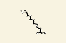 CCCCC[CH]CCCCC(=O)O